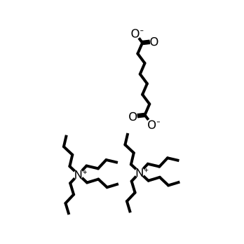 CCCC[N+](CCCC)(CCCC)CCCC.CCCC[N+](CCCC)(CCCC)CCCC.O=C([O-])CCCCCCC(=O)[O-]